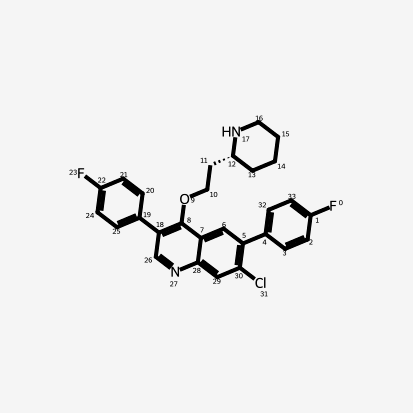 Fc1ccc(-c2cc3c(OCC[C@H]4CCCCN4)c(-c4ccc(F)cc4)cnc3cc2Cl)cc1